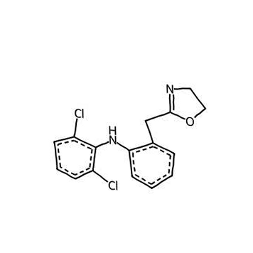 Clc1cccc(Cl)c1Nc1ccccc1CC1=NCCO1